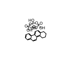 O=P(O)(O)OP(=O)(O)OP(=O)(O)O.c1ccc2c(c1)ccc1c3c(ccc12)CCCC3